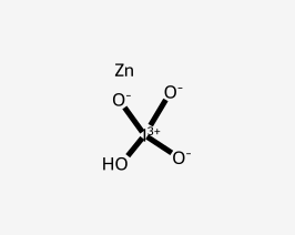 [O-][I+3]([O-])([O-])O.[Zn]